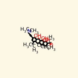 CC(=O)C1=C(C)C[C@@]2(C)C[C@@]3(C)Cc4c(C(C)C)cc(C#CCN(C)C)c(O)c4C(=O)C3=C(O)[C@@]2(O)C1=O